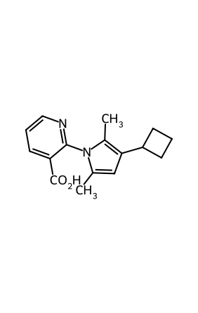 Cc1cc(C2CCC2)c(C)n1-c1ncccc1C(=O)O